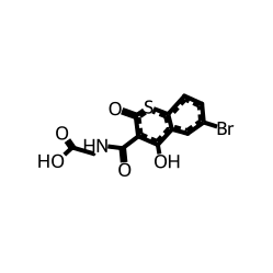 O=C(O)CNC(=O)c1c(O)c2cc(Br)ccc2sc1=O